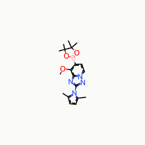 COc1c(B2OC(C)(C)C(C)(C)O2)ccn2nc(-n3c(C)ccc3C)nc12